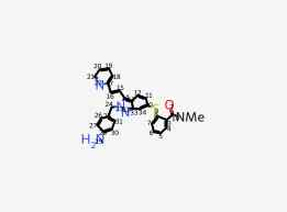 CNC(=O)c1ccccc1Sc1ccc2c(/C=C/c3ccccn3)n(Cc3ccc(N)cc3)nc2c1